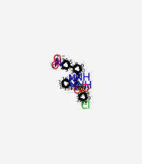 O=[N+]([O-])c1ccc(-c2cccc(Nc3nc4ccccc4nc3NS(=O)(=O)c3ccc(Cl)cc3)c2)cc1